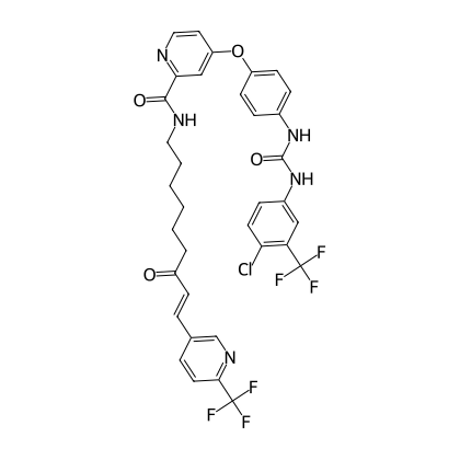 O=C(C=Cc1ccc(C(F)(F)F)nc1)CCCCCCNC(=O)c1cc(Oc2ccc(NC(=O)Nc3ccc(Cl)c(C(F)(F)F)c3)cc2)ccn1